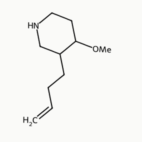 C=CCCC1CNCCC1OC